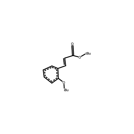 CCC(C)Oc1ccccc1C=CC(=O)OC(C)(C)C